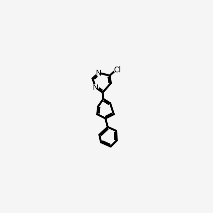 Clc1cc(-c2ccc(-c3ccccc3)cc2)ncn1